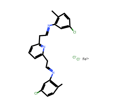 Cc1ccc(Cl)cc1N=CCc1cccc(CC=Nc2cc(Cl)ccc2C)n1.[Cl-].[Cl-].[Fe+2]